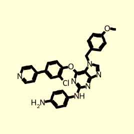 COc1ccc(Cn2cnc3nc(Nc4ccc(N)cc4)nc(Oc4ccc(-c5ccncc5)cc4Cl)c32)cc1